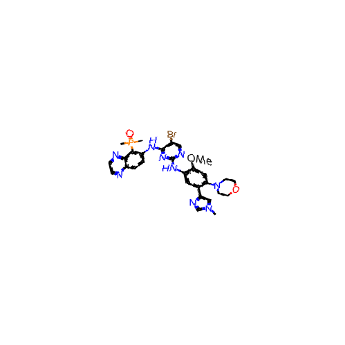 COc1cc(N2CCOCC2)c(-c2cn(C)cn2)cc1Nc1ncc(Br)c(Nc2ccc3nccnc3c2P(C)(C)=O)n1